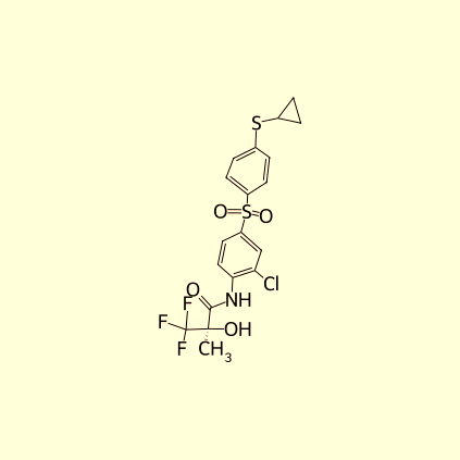 C[C@@](O)(C(=O)Nc1ccc(S(=O)(=O)c2ccc(SC3CC3)cc2)cc1Cl)C(F)(F)F